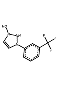 ON1C=CN(c2cccc(C(F)(F)F)c2)N1